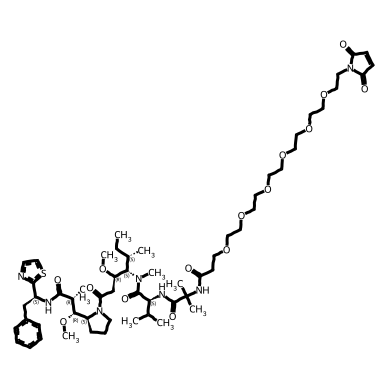 CC[C@H](C)[C@@H]([C@@H](CC(=O)N1CCC[C@H]1[C@H](OC)[C@@H](C)C(=O)N[C@@H](Cc1ccccc1)c1nccs1)OC)N(C)C(=O)[C@@H](NC(=O)C(C)(C)NC(=O)CCOCCOCCOCCOCCOCCOCCN1C(=O)C=CC1=O)C(C)C